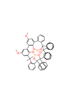 COc1cc2c(c(-c3cc(OC)cc(C(C)(C)C)c3OP3OC(c4ccccc4)(c4ccccc4)C(c4ccccc4)(c4ccccc4)O3)c1)OP1OC(c3ccccc3)(c3ccccc3)C(c3ccccc3)(O1)c1ccccc1-2